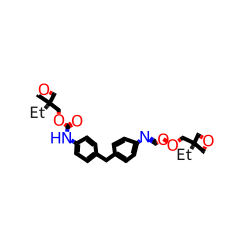 CCC1(COO/C=N/c2ccc(Cc3ccc(NC(=O)OCC4(CC)COC4)cc3)cc2)COC1